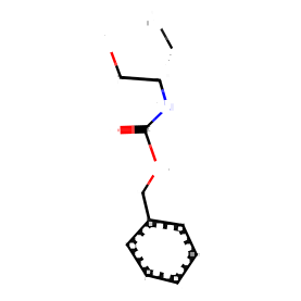 CC(C)C[C@@H]([CH]O)NC(=O)OCc1ccccc1